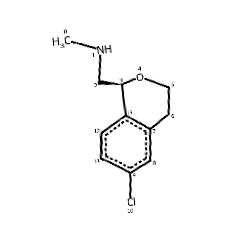 CNC[C@H]1OCCc2cc(Cl)ccc21